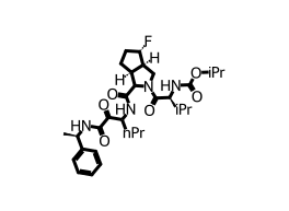 CCCC(NC(=O)C1[C@H]2CC[C@H](F)[C@H]2CN1C(=O)[C@@H](NC(=O)OC(C)C)C(C)C)C(=O)C(=O)N[C@H](C)c1ccccc1